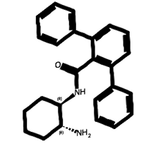 N[C@@H]1CCCC[C@H]1NC(=O)c1c(-c2ccccc2)cccc1-c1ccccc1